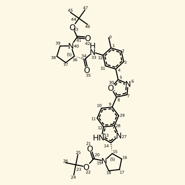 Cc1ccc(-c2ncc(-c3ccc4[nH]c([C@@H]5CCCN5C(=O)OC(C)(C)C)nc4c3)o2)cc1NC(=O)[C@@H]1CCCN1C(=O)OC(C)(C)C